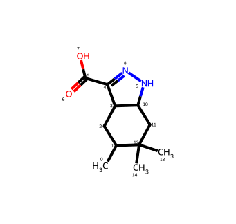 CC1CC2C(C(=O)O)=NNC2CC1(C)C